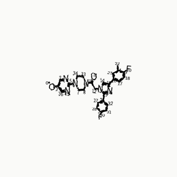 COc1cnc(N2CCN(C(=O)Cn3cc(-c4ccc(F)c(C)c4)nc3-c3ccc(F)cc3)CC2)nc1